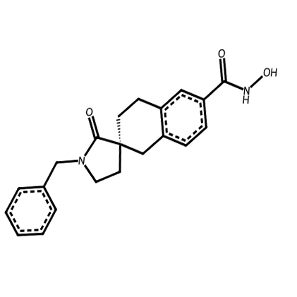 O=C(NO)c1ccc2c(c1)CC[C@@]1(CCN(Cc3ccccc3)C1=O)C2